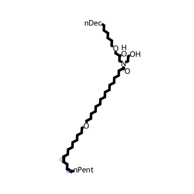 CCCCC/C=C\C/C=C\CCCCCCCCOCCCCCCCCCCCCCCCC(=O)N(CCO)CC(O)COCCCCCCCCCCCCCCCC